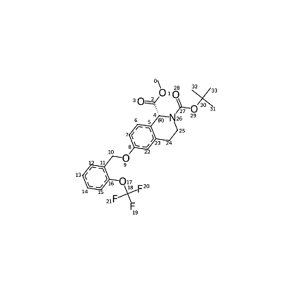 COC(=O)[C@H]1c2ccc(OCc3ccccc3OC(F)(F)F)cc2CCN1C(=O)OC(C)(C)C